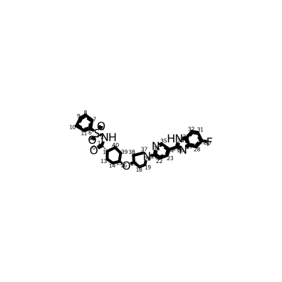 O=C(NS(=O)(=O)c1ccccc1)[C@H]1CC[C@H](OC2CCN(c3ccc(-c4nc5cc(F)ccc5[nH]4)cn3)CC2)CC1